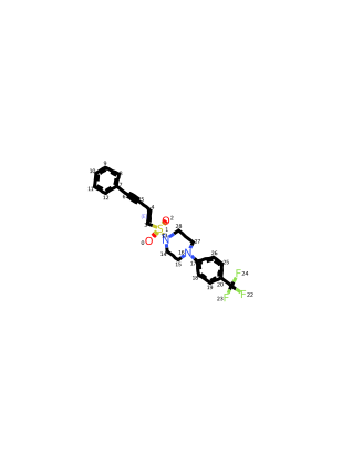 O=S(=O)(/C=C/C#Cc1ccccc1)N1CCN(c2ccc(C(F)(F)F)cc2)CC1